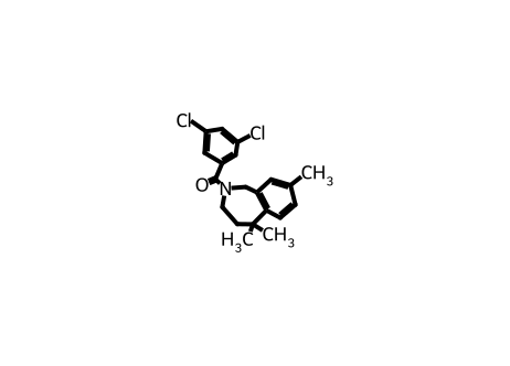 Cc1ccc2c(c1)CN(C(=O)c1cc(Cl)cc(Cl)c1)CCC2(C)C